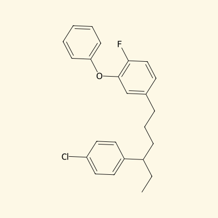 CCC(CCCc1ccc(F)c(Oc2ccccc2)c1)c1ccc(Cl)cc1